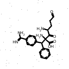 N=C(N)c1ccc(C(c2ccccc2)C(N)(C(=O)O)C(=O)C(N)CCC=O)cc1